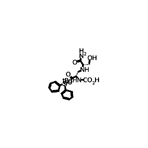 CC(C)(C)[Si](OC(=O)[C@H](CN[C@@H](CO)C(N)=O)NC(=O)O)(c1ccccc1)c1ccccc1